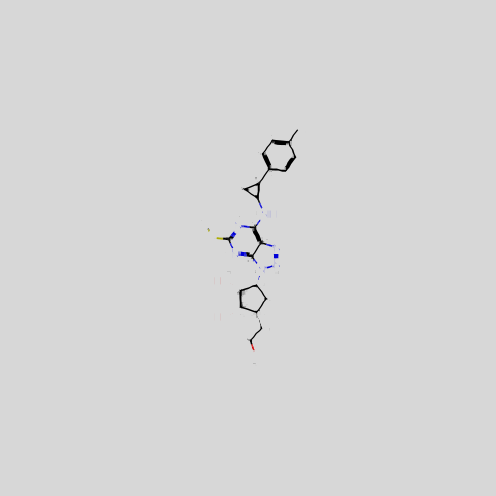 CCCSc1nc(NC2CC2c2ccc(C)cc2)c2nnn([C@H]3C[C@@H](CCO)[C@H](O)[C@@H]3O)c2n1